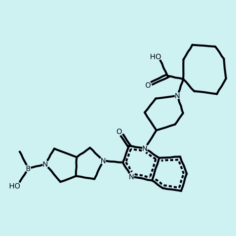 CB(O)N1CC2CN(c3nc4ccccc4n(C4CCN(C5(C(=O)O)CCCCCCC5)CC4)c3=O)CC2C1